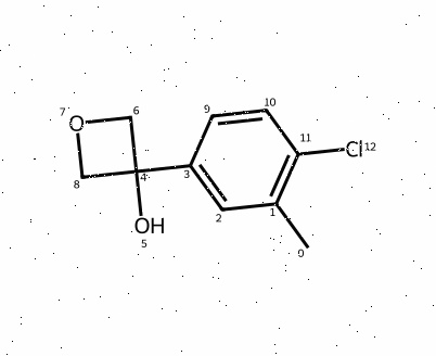 Cc1cc(C2(O)COC2)ccc1Cl